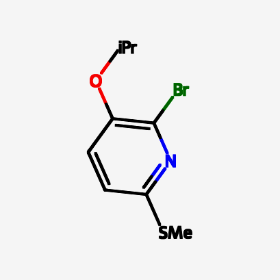 CSc1ccc(OC(C)C)c(Br)n1